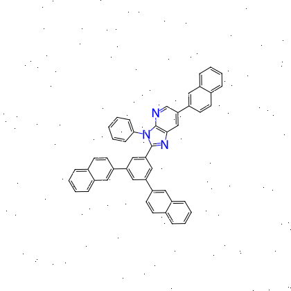 c1ccc(-n2c(-c3cc(-c4ccc5ccccc5c4)cc(-c4ccc5ccccc5c4)c3)nc3cc(-c4ccc5ccccc5c4)cnc32)cc1